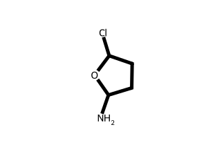 NC1CCC(Cl)O1